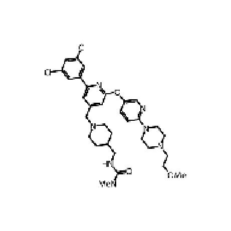 CNC(=O)NCC1CCN(Cc2cc(Oc3ccc(N4CCN(CCOC)CC4)nc3)nc(-c3cc(Cl)cc(Cl)c3)c2)CC1